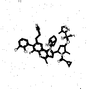 [2H]C([2H])(OC1CC(c2cc3c(C)nc4c(F)c(-c5cccc(Cl)c5Cl)c(CCC#N)cc4c3n2C2C3CNC2C3)N(C(=O)C2CC2)C1C)c1nscc1C